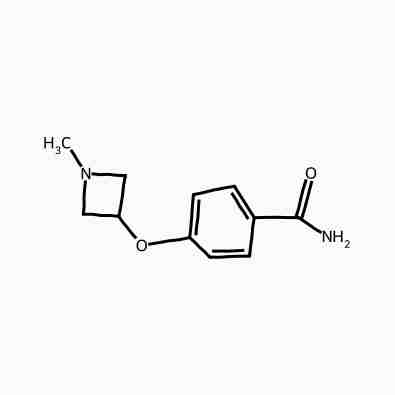 CN1CC(Oc2ccc(C(N)=O)cc2)C1